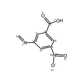 C=Nc1cc(C(=O)O)cc([N+](=O)[O-])c1